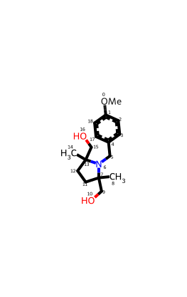 COc1ccc(CN2C(C)(CO)CCC2(C)CO)cc1